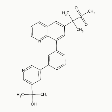 CC(C)(O)c1cncc(-c2cccc(-c3cc(C(C)(C)S(C)(=O)=O)cc4cccnc34)c2)c1